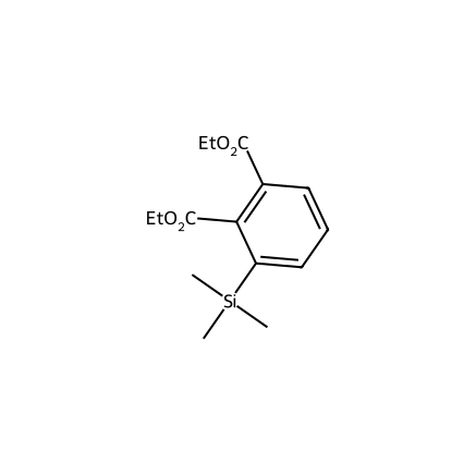 CCOC(=O)c1cccc([Si](C)(C)C)c1C(=O)OCC